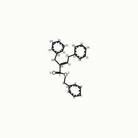 O=C(OCc1ccccc1)C(=CCc1ccccc1)Cc1ccccc1